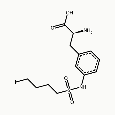 N[C@@H](Cc1cccc(NS(=O)(=O)CCCCI)c1)C(=O)O